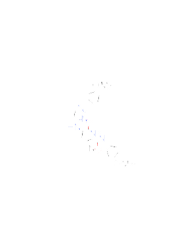 COc1ccc(Cc2nccc(Nc3cc(C#N)c4n(c3=O)C3(CCCCC3)N(Cc3ccc(OC)cc3)C4=O)n2)cc1